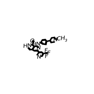 CN1CCC(c2ccc(Nc3nc(-c4cncc(C(F)(F)F)c4)cc4c3C(C=O)NC=C4)cc2)CC1